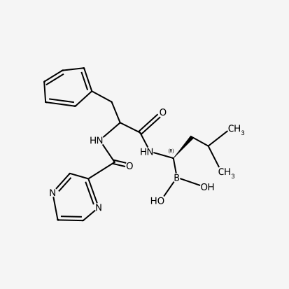 CC(C)C[C@H](NC(=O)C(Cc1ccccc1)NC(=O)c1cnccn1)B(O)O